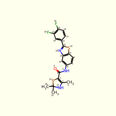 CC1=C(C(=O)Nc2ccc3sc(-c4ccc(F)c(F)c4)nc3c2)SC(C)(C)N1